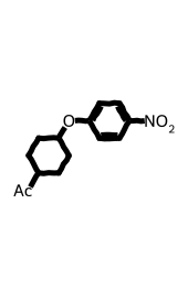 CC(=O)C1CCC(Oc2ccc([N+](=O)[O-])cc2)CC1